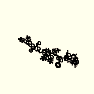 C=C(OS(=O)(=O)C(F)(F)F)[C@H](C)C[C@H]1CC[C@@H]2O[C@@H](CCC(/C=C/[C@H](O[Si](C)(C)C(C)(C)C)[C@@H]3O[C@H]4CC[C@H](CC(=O)C[C@@H]5[C@@H](OC)[C@@H](C[C@@H](CO[Si](C)(C)C(C)(C)C)O[Si](C)(C)C(C)(C)C)O[C@H]5CC=O)O[C@@H]4[C@H](O[Si](C)(C)C(C)(C)C)[C@@H]3O[Si](C)(C)C(C)(C)C)OC(=O)c3ccccc3)C[C@]2(CI)O1